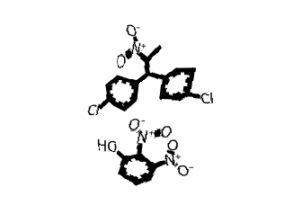 CC(C(c1ccc(Cl)cc1)c1ccc(Cl)cc1)[N+](=O)[O-].O=[N+]([O-])c1cccc(O)c1[N+](=O)[O-]